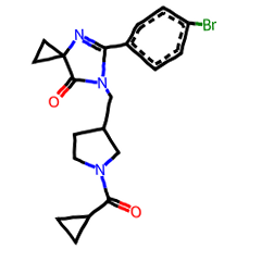 O=C(C1CC1)N1CCC(CN2C(=O)C3(CC3)N=C2c2ccc(Br)cc2)C1